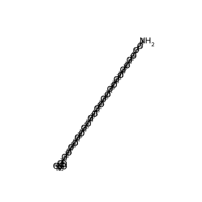 NCCOCCOCCOCCOCCOCCOCCOCCOCCOCCOCCOCCOCCOCCOCCOCCOCCOCCOCCOCCOCCOCCOCCOCCOCCC(=O)ON1C(=O)CCC1=O